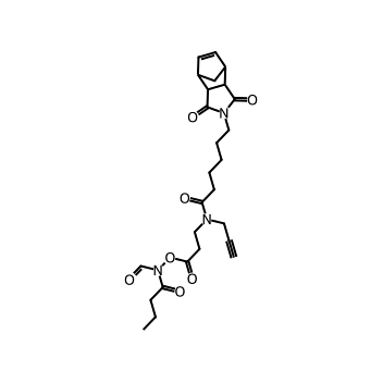 C#CCN(CCC(=O)ON(C=O)C(=O)CCC)C(=O)CCCCCN1C(=O)C2C3C=CC(C3)C2C1=O